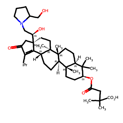 CC(C)C1=C2[C@H]3CC[C@@H]4[C@@]5(C)CC[C@H](OC(=O)CC(C)(C)C(=O)O)C(C)(C)[C@@H]5CC[C@@]4(C)[C@]3(C)CC[C@@]2([C@H](O)CN2CCCC2CO)CC1=O